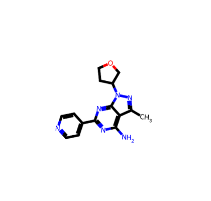 Cc1nn(C2CCOC2)c2nc(-c3ccncc3)nc(N)c12